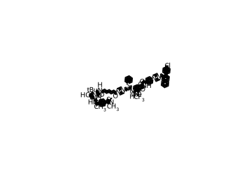 Cc1ncsc1-c1ccc([C@H](C)NC(=O)[C@@H]2C[C@@H](O)CN2C(=O)[C@@H](NC(=O)CCCCCC(=O)N2CCN(CC[C@H](CSc3ccccc3)Nc3ccc(S(=O)(=O)NC(=O)c4ccc(N5CCN(CC6=C(c7ccc(Cl)cc7)CCC7(CCCCC7)C6)CC5)cc4)cc3S(=O)(=O)C(F)(F)F)CC2)C(C)(C)C)cc1